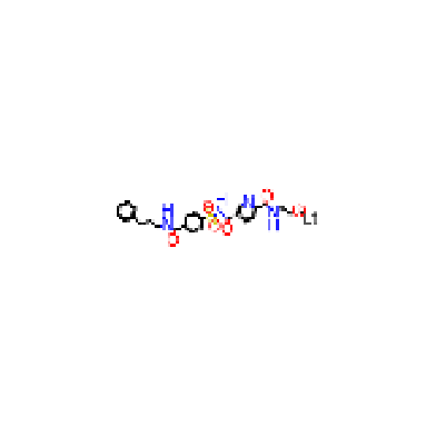 CCOCCNC(=O)c1ccc(C(=O)NS(=O)(=O)c2ccc(C(=O)NCCCc3ccccc3)cc2)cn1